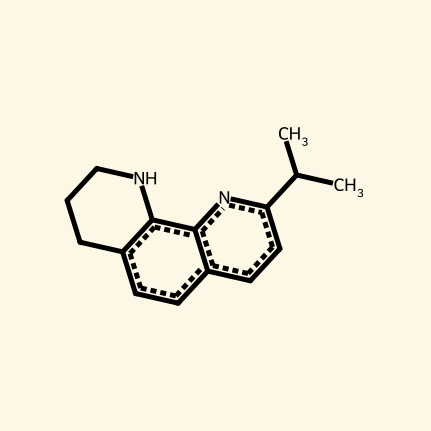 CC(C)c1ccc2ccc3c(c2n1)NCCC3